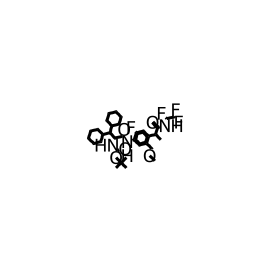 COCc1cc(NC(=O)[C@@H](NC(=O)OC(C)(C)C)C(C2CCCCC2)C2CCCCC2)c(F)cc1C(C)C(=O)NC(F)C(F)F